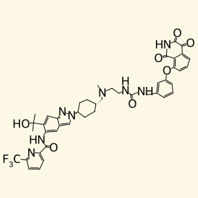 CN(CCNC(=O)NCc1cccc(Oc2cccc3c2C(=O)NC(=O)C3=O)c1)C[C@H]1CC[C@H](n2cc3cc(NC(=O)c4cccc(C(F)(F)F)n4)c(C(C)(C)O)cc3n2)CC1